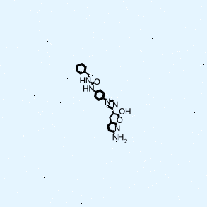 Nc1ccc(CC(C(=O)O)c2cn(-c3ccc(NC(=O)NCc4ccccc4)cc3)cn2)cn1